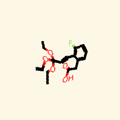 CCOC(C#Cc1c(F)cccc1CC(=O)O)(OCC)OCC